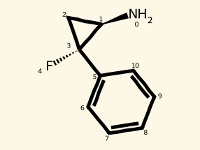 N[C@@H]1C[C@]1(F)c1ccccc1